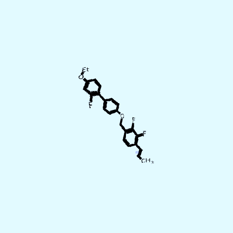 C/C=C/c1ccc(COc2ccc(-c3ccc(OCC)cc3F)cc2)c(F)c1F